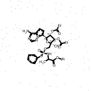 CCC(=O)O[C@H]1[C@H](c2ccc3c(N)ncnn23)O[C@](C#N)(COP(=O)(NC(C)C(=O)OC(C)C)Oc2ccccc2)[C@H]1OC(=O)CC